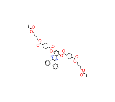 C=CC(=O)OCCCCOC(=O)C1CCC(C(=O)Oc2ccc(OC(=O)C3CCC(C(=O)OCCCCOC(=O)C=C)CC3)c3nc(-c4ccccc4)c(-c4ccccc4)nc23)CC1